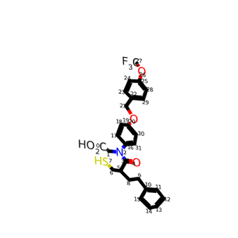 O=C(O)CN(C(=O)C(CS)CCc1ccccc1)c1ccc(OCc2ccc(OC(F)(F)F)cc2)cc1